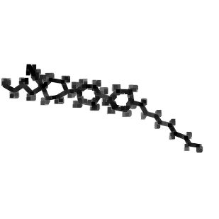 CCCCCCCCCc1ccc(-c2ccc(C3CCC(C#N)(CCCC)CC3)cc2)cc1